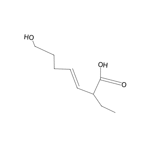 CCC(C=CCCCO)C(=O)O